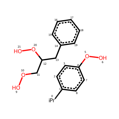 CC(C)c1ccc(OO)cc1.OOCC(Cc1ccccc1)OO